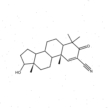 CC1(C)C(=O)C(C#N)=C[C@]2(C)C3CC[C@]4(C)C(O)CCC4C3CCC12